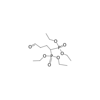 CCOP(=O)(OCC)C(CCC=O)P(=O)(OCC)OCC